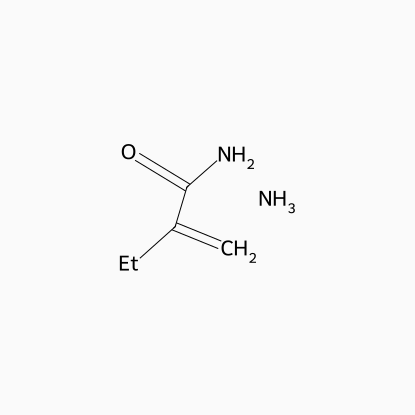 C=C(CC)C(N)=O.N